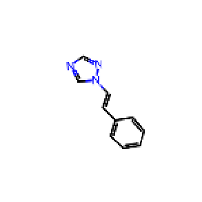 C(=Cn1cncn1)c1ccccc1